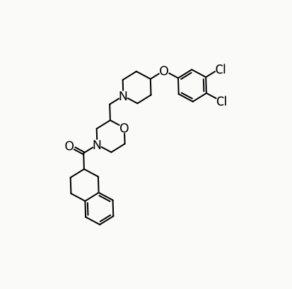 O=C(C1CCc2ccccc2C1)N1CCOC(CN2CCC(Oc3ccc(Cl)c(Cl)c3)CC2)C1